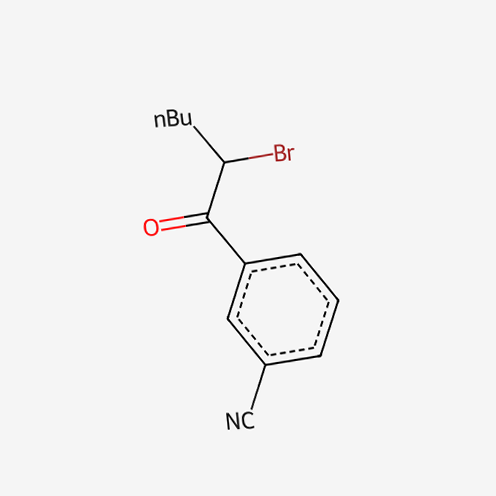 CCCCC(Br)C(=O)c1cccc(C#N)c1